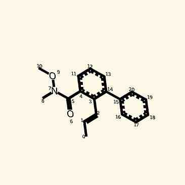 C/C=C/c1c(C(=O)N(C)OC)cccc1-c1ccccc1